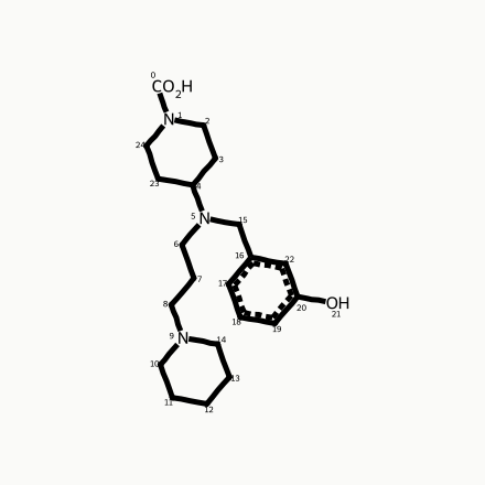 O=C(O)N1CCC(N(CCCN2CCCCC2)Cc2cccc(O)c2)CC1